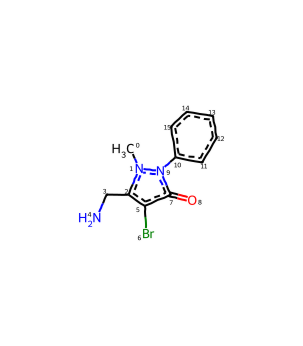 Cn1c(CN)c(Br)c(=O)n1-c1ccccc1